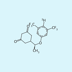 [2H]c1c(C(F)(F)F)cc(O[C@@H](C)C2CC(=O)CC(=O)C2)cc1C(F)(F)F